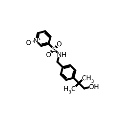 CC(C)(CO)c1ccc(CNS(=O)(=O)c2ccc[n+]([O-])c2)cc1